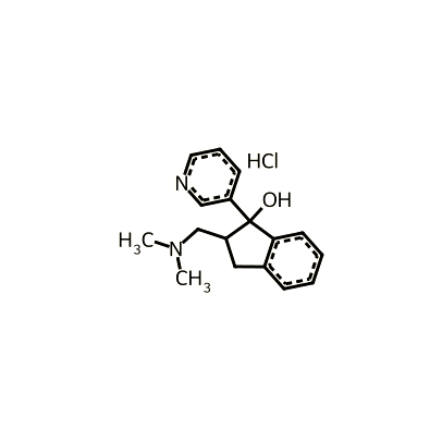 CN(C)CC1Cc2ccccc2C1(O)c1cccnc1.Cl